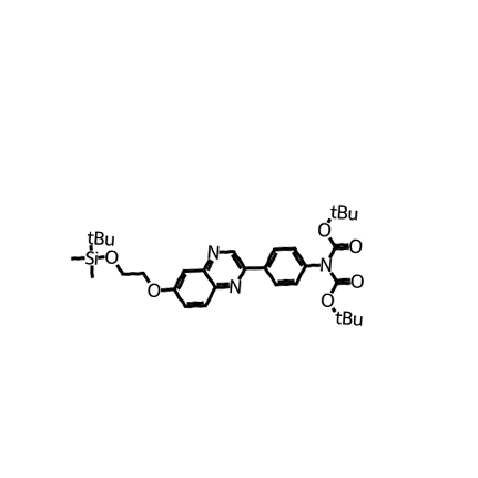 CC(C)(C)OC(=O)N(C(=O)OC(C)(C)C)c1ccc(-c2cnc3cc(OCCO[Si](C)(C)C(C)(C)C)ccc3n2)cc1